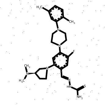 Cc1ccc(C)c(N2CCN(c3cc(N4CC[C@@H](N(C)C)C4)c(C=NNC(N)=S)cc3F)CC2)c1